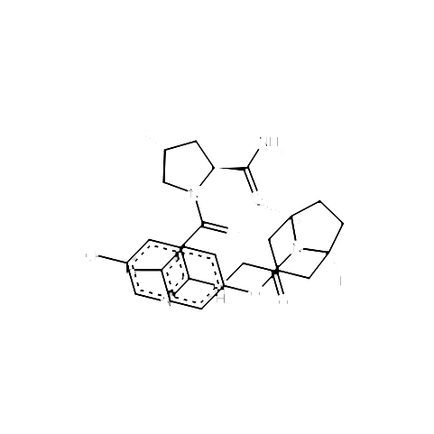 NC(=O)[C@@H]1C[C@@H](O)CN1C(=O)c1cc(Cl)cnc1NCC(=O)N1[C@@H]2CC[C@H]1CC(Oc1ccc(F)cc1)C2